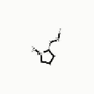 [CH2-][NH+]1CCC[C@H]1CNC